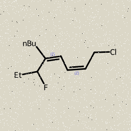 CCCC/C(=C/C=C\CCl)C(F)CC